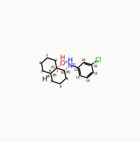 O[C@@]12CCCC[C@@H]1CCC[C@H]2Nc1cccc(Cl)c1